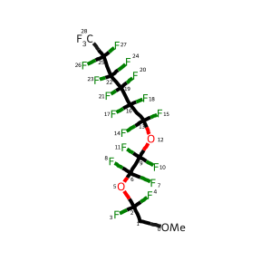 COCC(F)(F)OC(F)(F)C(F)(F)OC(F)(F)C(F)(F)C(F)(F)C(F)(F)C(F)(F)C(F)(F)F